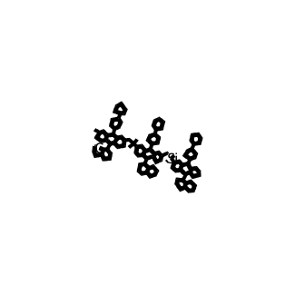 Cc1ccc2c(-c3cccc4ccccc34)c3ccc(CC(C)(C)c4ccc5c(-c6cccc7ccccc67)c6ccc(C[Si](C)(C)c7ccc8c(-c9cccc%10ccccc9%10)c9ccccc9c(-c9ccc(-c%10ccccc%10)cc9)c8c7)cc6c(-c6ccc(-c7ccccc7)cc6)c5c4)cc3c(-c3ccc(-c4ccccc4)cc3)c2c1